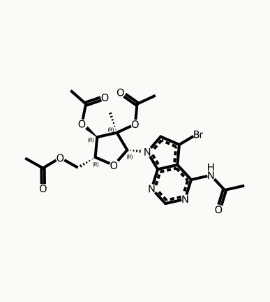 CC(=O)Nc1ncnc2c1c(Br)cn2[C@@H]1O[C@H](COC(C)=O)[C@@H](OC(C)=O)[C@@]1(C)OC(C)=O